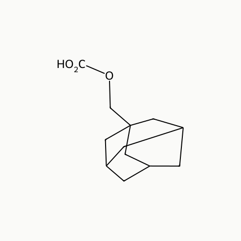 O=C(O)OCC12CC3CC(CC(C3)C1)C2